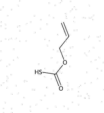 C=CCOC(=O)S